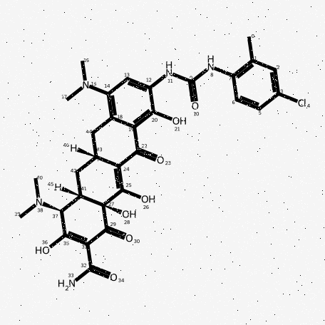 Cc1cc(Cl)ccc1NC(=O)Nc1cc(N(C)C)c2c(c1O)C(=O)C1=C(O)[C@]3(O)C(=O)C(C(N)=O)=C(O)[C@@H](N(C)C)[C@@H]3C[C@@H]1C2